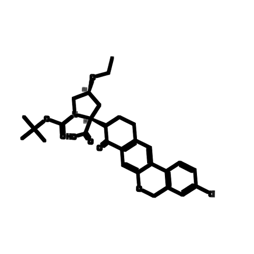 CCO[C@@H]1CN(C(=O)OC(C)(C)C)[C@](C(=O)O)(C2CCc3cc4c(cc3C2=O)OCc2cc(Cl)ccc2-4)C1